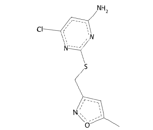 Cc1cc(CSc2nc(N)cc(Cl)n2)no1